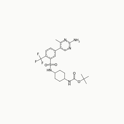 Cc1nc(N)ncc1-c1ccc(C(F)(F)F)c(S(=O)(=O)NC2CCC(NC(=O)OC(C)(C)C)CC2)c1